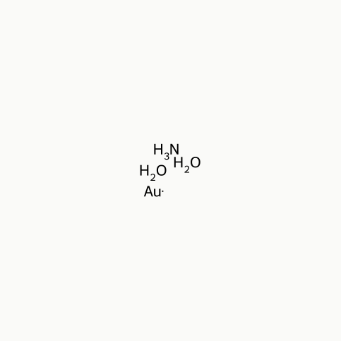 N.O.O.[Au]